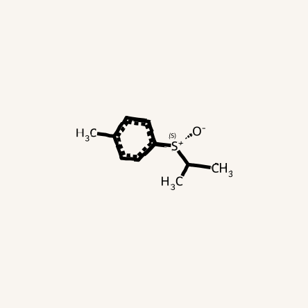 Cc1ccc([S@+]([O-])C(C)C)cc1